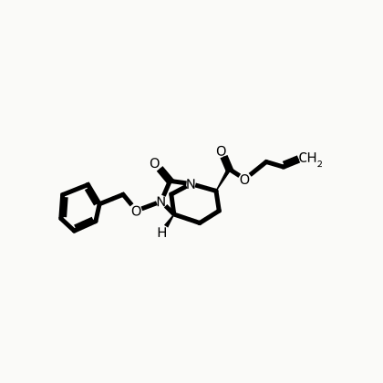 C=CCOC(=O)[C@H]1CC[C@H]2CN1C(=O)N2OCc1ccccc1